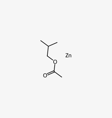 CC(=O)OCC(C)C.[Zn]